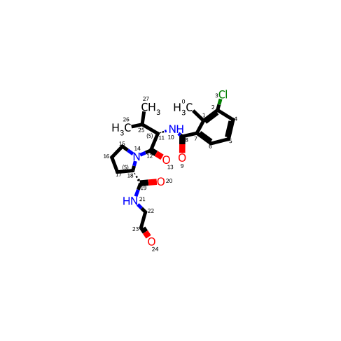 Cc1c(Cl)cccc1C(=O)N[C@H](C(=O)N1CCC[C@H]1C(=O)NCC=O)C(C)C